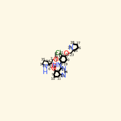 CCOCC(=O)[C@]1(COc2cccc3ncnc(Nc4ccc(OCc5ccccn5)c(Cl)c4)c23)CCCN1